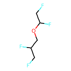 FCC(F)COC(F)CF